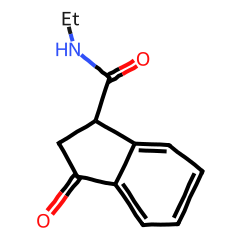 CCNC(=O)C1CC(=O)c2ccccc21